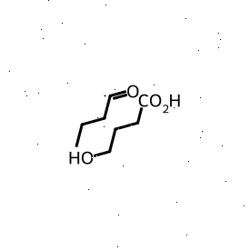 CCC[C]=O.O=C(O)CCCO